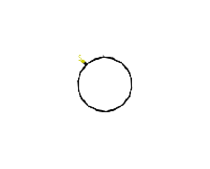 S=C1C[CH]CCCCCCCC[CH]CCCCCC1